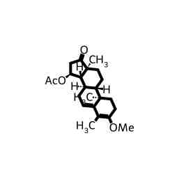 COC1=C(C)C2=CC[C@H]3[C@@H]4[C@@H](OC(C)=O)CC(=O)[C@@]4(C)CC[C@@H]3[C@@]2(C)CC1